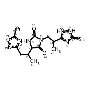 CC(C)c1nc(CC(C)C2NC(=O)N(CC(C)c3nc(=S)[nH][nH]3)C2=O)no1